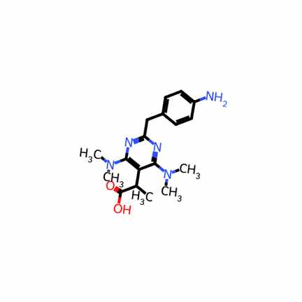 CC(C(=O)O)c1c(N(C)C)nc(Cc2ccc(N)cc2)nc1N(C)C